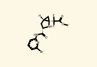 O=C(Nc1cccc(Br)n1)[C@@H]1C[C@@H]2C[C@@]2(C(F)(F)C(=O)OF)N1